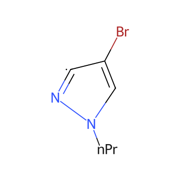 CCCn1cc(Br)[c]n1